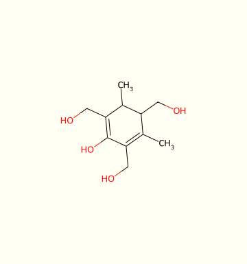 CC1=C(CO)C(O)=C(CO)C(C)C1CO